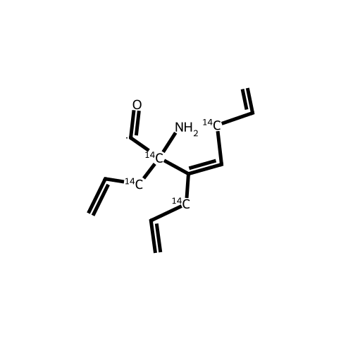 C=C[14CH2]C=C([14CH2]C=C)[14C](N)([C]=O)[14CH2]C=C